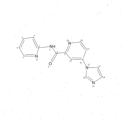 O=C(Nc1ccccn1)c1cc(-n2ccnc2)ccn1